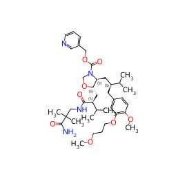 COCCCOc1cc(C[C@@H](C[C@H]2[C@H](C[C@H](C(=O)NCC(C)(C)C(N)=O)C(C)C)OCN2C(=O)OCc2cccnc2)C(C)C)ccc1OC